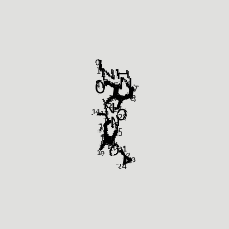 CCNC(=O)c1nccc2c1CN(C(C)c1cc(C)c(OCC3CC3)cn1)C2=O